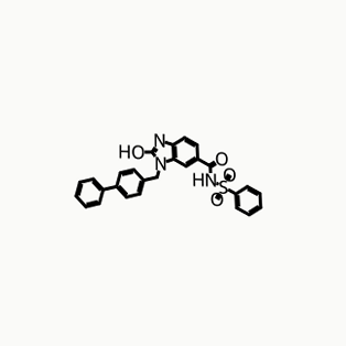 O=C(NS(=O)(=O)c1ccccc1)c1ccc2nc(O)n(Cc3ccc(-c4ccccc4)cc3)c2c1